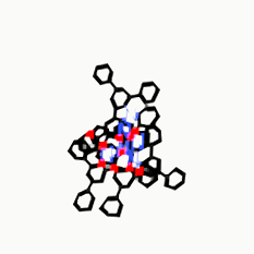 C1=CC(c2nc(-c3ccccc3-n3c4c(-c5ccccc5)cc(-c5ccccc5)cc4c4cc(-c5ccccc5)cc(-c5ccccc5)c43)nc(-n3c4c(-c5ccccc5)cc(-c5ccccc5)cc4c4cc(-c5ccccc5)cc(-c5ccccc5)c43)n2)C(n2c3c(-c4ccccc4)cc(-c4ccccc4)cc3c3cc(-c4ccccc4)cc(-c4ccccc4)c32)C=C1